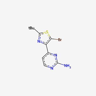 CC(C)(C)c1nc(-c2ccnc(N)n2)c(Br)s1